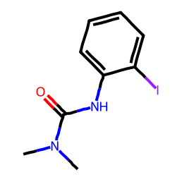 CN(C)C(=O)Nc1ccccc1I